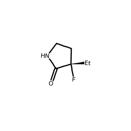 CC[C@]1(F)CCNC1=O